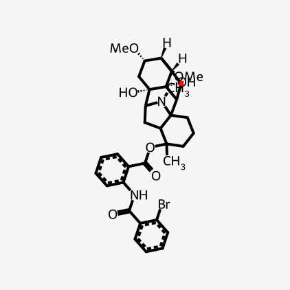 CO[C@H]1C[C@]2(O)C3CC4C(C)(OC(=O)c5ccccc5NC(=O)c5ccccc5Br)CCCC4(C4C[C@H]1[C@H](OC)[C@@]42O)N3C